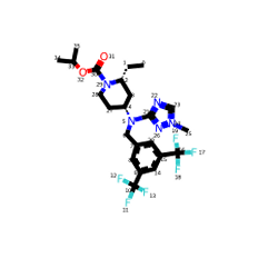 CC[C@@H]1C[C@H](N(Cc2cc(C(F)(F)F)cc(C(F)(F)F)c2)c2ncn(C)n2)CCN1C(=O)OC(C)C